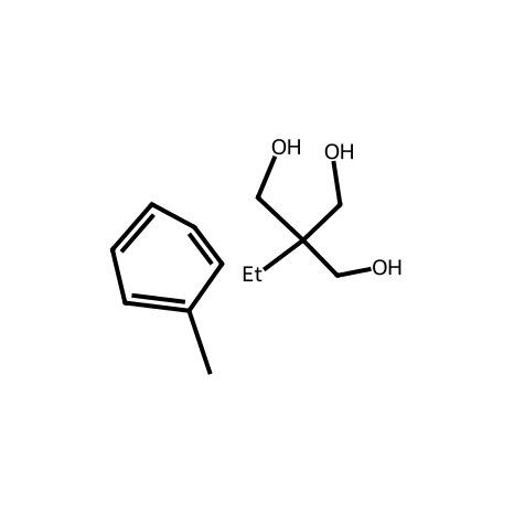 CCC(CO)(CO)CO.Cc1ccccc1